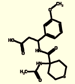 COc1cccc(C(CC(=O)O)NC(=O)C2(NC(C)=O)CCSCC2)c1